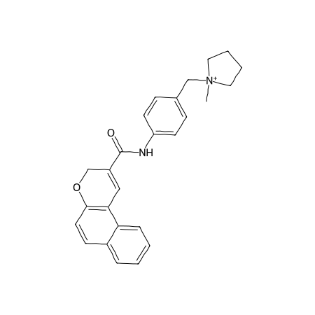 C[N+]1(Cc2ccc(NC(=O)C3=Cc4c(ccc5ccccc45)OC3)cc2)CCCC1